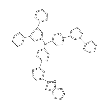 c1ccc(-c2cccc(-c3ccc(N(c4ccc(-c5cccc(-c6cc7ccccc7o6)c5)cc4)c4cc(-c5ccccc5)cc(-c5ccccc5)c4)cc3)c2)cc1